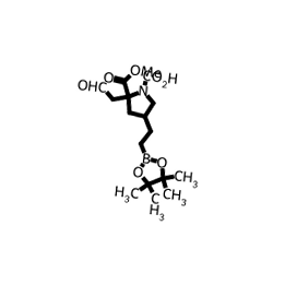 COC(=O)C1(CC=O)CC(CCB2OC(C)(C)C(C)(C)O2)CN1C(=O)O